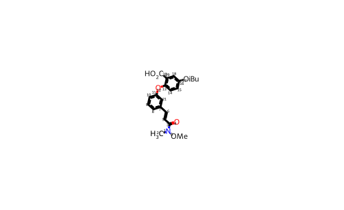 CON(C)C(=O)/C=C/c1cccc(Oc2ccc(OCC(C)C)cc2C(=O)O)c1